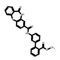 COC(=O)c1ccccc1-c1cccc(NC(=O)c2ccc3c(c2)NC(=O)c2ccccc2S3)c1